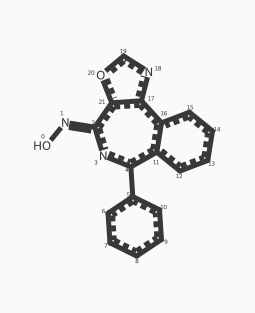 ON=c1nc(-c2ccccc2)c2ccccc2c2ncoc12